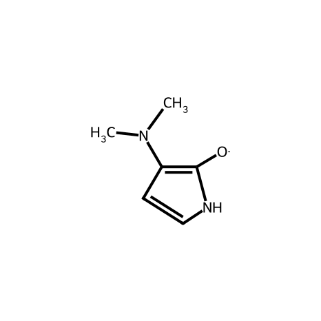 CN(C)c1cc[nH]c1[O]